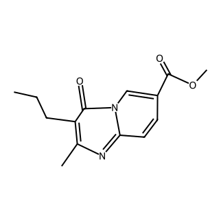 CCCc1c(C)nc2ccc(C(=O)OC)cn2c1=O